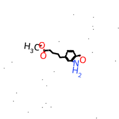 COC(=O)CCCCc1ccc(C=O)c(N)c1